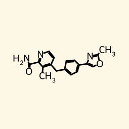 Cc1nc(-c2ccc(Cc3ccnc(C(N)=O)c3C)cc2)co1